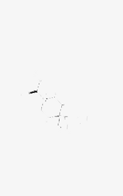 CC(C)CC(=O)N1CCC(N)(C(=O)O)CC1